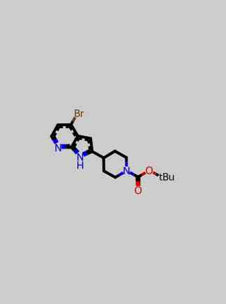 CC(C)(C)OC(=O)N1CCC(c2cc3c(Br)ccnc3[nH]2)CC1